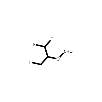 O=COC(CF)C(F)F